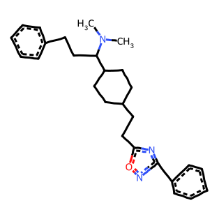 CN(C)C(CCc1ccccc1)C1CCC(CCc2nc(-c3ccccc3)no2)CC1